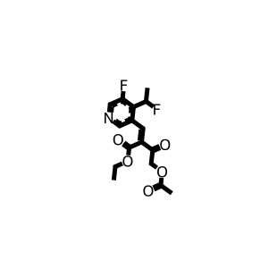 CCOC(=O)C(=Cc1cncc(F)c1C(C)F)C(=O)COC(C)=O